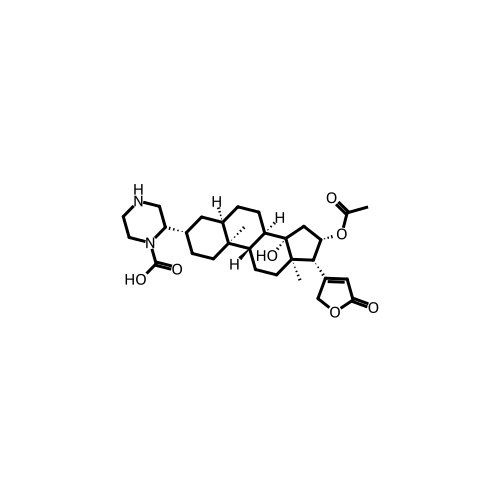 CC(=O)O[C@H]1C[C@]2(O)[C@@H]3CC[C@@H]4C[C@@H](C5CNCCN5C(=O)O)CC[C@]4(C)[C@H]3CC[C@]2(C)[C@H]1C1=CC(=O)OC1